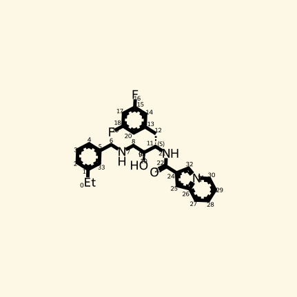 CCc1cccc(CNC[C@H](O)[C@H](Cc2cc(F)cc(F)c2)NC(=O)c2cc3ccccn3c2)c1